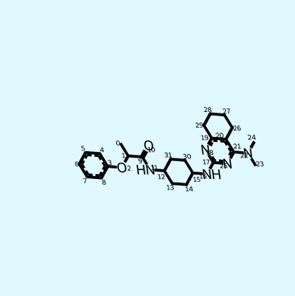 CC(Oc1ccccc1)C(=O)NC1CCC(Nc2nc3c(c(N(C)C)n2)CCCC3)CC1